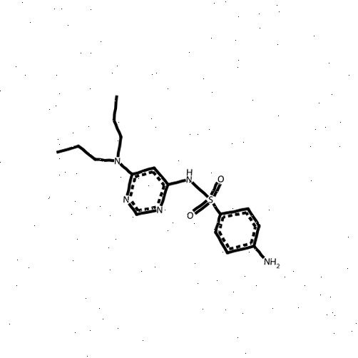 CCCN(CCC)c1cc(NS(=O)(=O)c2ccc(N)cc2)ncn1